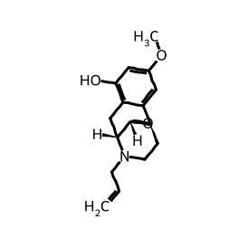 C=CCN1CC[C@]23COCC[C@H]2[C@H]1Cc1c(O)cc(OC)cc13